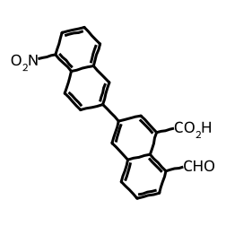 O=Cc1cccc2cc(-c3ccc4c([N+](=O)[O-])cccc4c3)cc(C(=O)O)c12